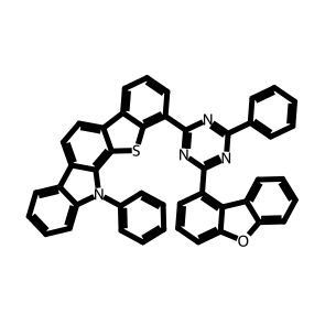 c1ccc(-c2nc(-c3cccc4c3sc3c4ccc4c5ccccc5n(-c5ccccc5)c43)nc(-c3cccc4oc5ccccc5c34)n2)cc1